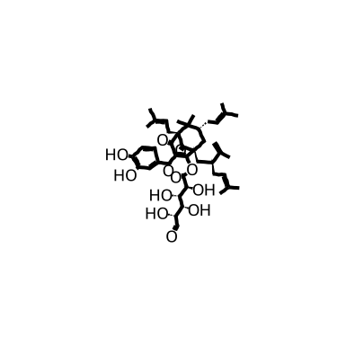 C=C(C)[C@@H](CC=C(C)C)C[C@@]12C[C@@H](CC=C(C)C)C(C)(C)[C@@](CC=C(C)C)(C(=O)C(C(=O)c3ccc(O)c(O)c3)=C1OC(=O)[C@@H](O)[C@@H](O)[C@H](O)[C@@H](O)C=O)C2=O